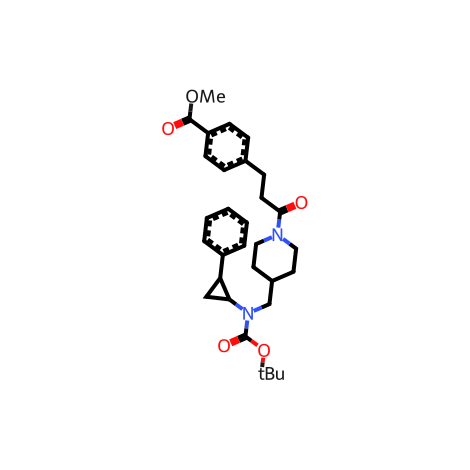 COC(=O)c1ccc(CCC(=O)N2CCC(CN(C(=O)OC(C)(C)C)C3CC3c3ccccc3)CC2)cc1